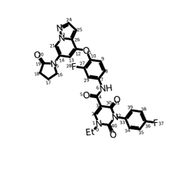 CCn1cc(C(=O)Nc2ccc(Oc3cc(N4CCCC4=O)cn4nccc34)c(F)c2)c(=O)n(-c2ccc(F)cc2)c1=O